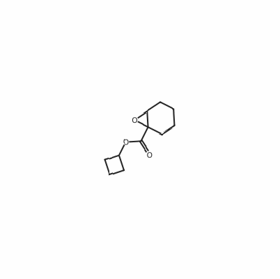 O=C(OC1CCC1)C12CCCCC1O2